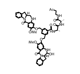 COc1cc2c(cc1OCc1cc(COc3cc4c(cc3OC)C(=O)N3c5ccccc5C[C@H]3C(O)N4)cc(C(=O)N[C@@H](C)C(=O)N[C@@H](C)C(=O)NCCC(C)=O)c1)NC[C@@H]1Cc3ccccc3N1C2=O